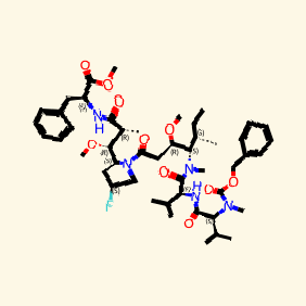 CC[C@H](C)[C@@H]([C@@H](CC(=O)N1C[C@@H](F)C[C@H]1[C@H](OC)[C@@H](C)C(=O)N[C@@H](Cc1ccccc1)C(=O)OC)OC)N(C)C(=O)[C@@H](NC(=O)[C@H](C(C)C)N(C)C(=O)OCc1ccccc1)C(C)C